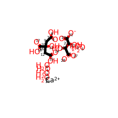 O.O.O.O.O.O.O=C(O)CC(O)(CC(=O)O)C(=O)O.O=C([O-])C(O)C(O)C(=O)[O-].[Ca+2]